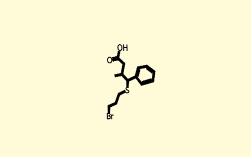 CC(CC(=O)O)C(SCCCBr)c1ccccc1